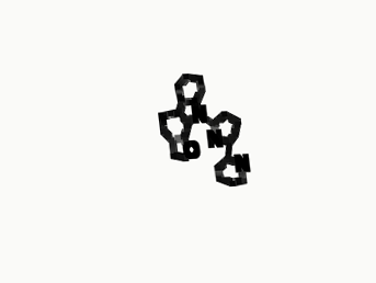 c1ccc(-c2cccc(-n3c4ccccc4c4ccc5ccoc5c43)n2)nc1